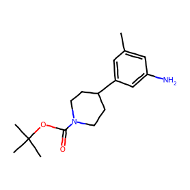 Cc1cc(N)cc(C2CCN(C(=O)OC(C)(C)C)CC2)c1